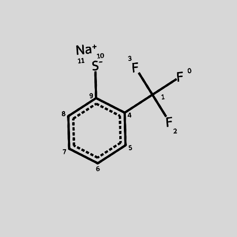 FC(F)(F)c1ccccc1[S-].[Na+]